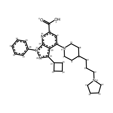 O=C(O)c1cc(N2CCC(CCCN3CCCC3)CC2)c2c(C3CCC3)nn(-c3ccccc3)c2n1